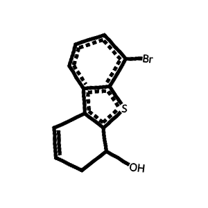 OC1CC=Cc2c1sc1c(Br)cccc21